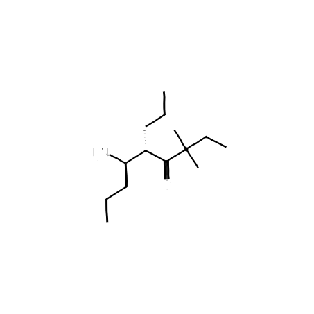 CCCC(N)[C@H](CCC)C(=O)C(C)(C)CC